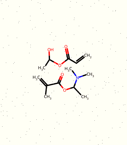 C=C(C)C(=O)OC(C)N(C)C.C=CC(=O)OC(C)O